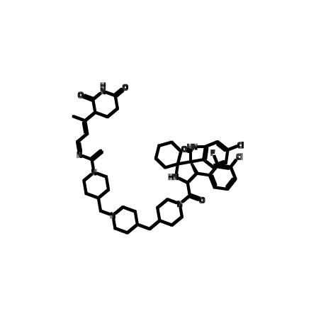 C=C(/N=C\C=C(/C)C1CCC(=O)NC1=O)N1CCC(CN2CCC(CC3CCN(C(=O)C4NC5(CCCCC5)[C@@]5(C(=O)Nc6cc(Cl)ccc65)C4c4cccc(Cl)c4F)CC3)CC2)CC1